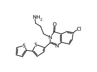 NCCCn1c(-c2ccc(-c3cccs3)s2)nc2ccc(Cl)cc2c1=O